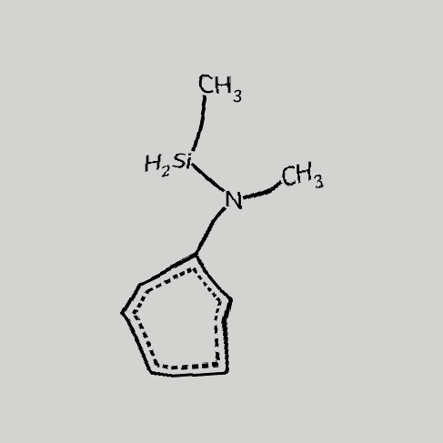 C[SiH2]N(C)c1ccccc1